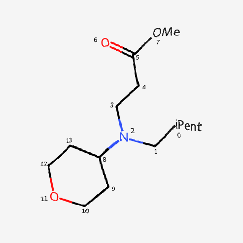 CCCC(C)CN(CCC(=O)OC)C1CCOCC1